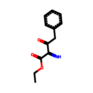 CCOC(=O)C(=N)C(=O)Cc1ccccc1